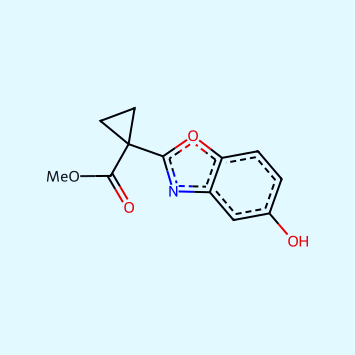 COC(=O)C1(c2nc3cc(O)ccc3o2)CC1